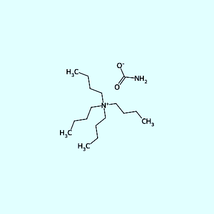 CCCC[N+](CCCC)(CCCC)CCCC.NC(=O)[O-]